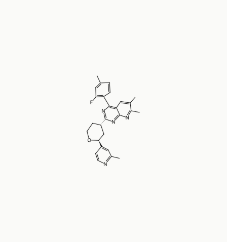 Cc1ccc(-c2nc([C@H]3CCO[C@H](c4ccnc(C)c4)C3)nc3nc(C)c(C)cc23)c(F)c1